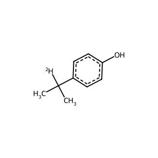 [2H]C(C)(C)c1ccc(O)cc1